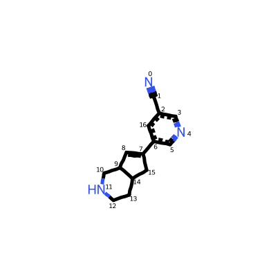 N#Cc1cncc(C2=CC3CNCCC3C2)c1